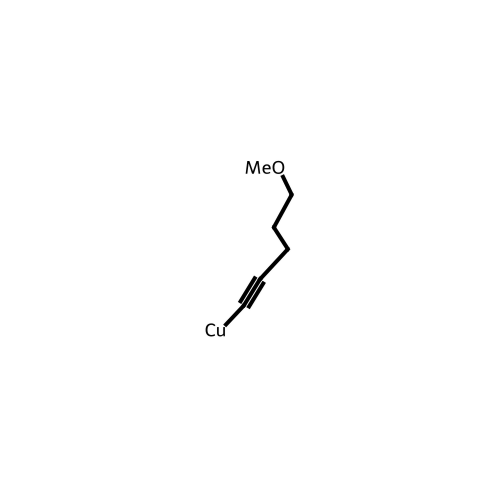 COCCCC#[C][Cu]